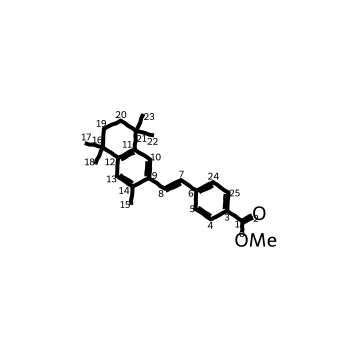 COC(=O)c1ccc(/C=C/c2cc3c(cc2C)C(C)(C)CCC3(C)C)cc1